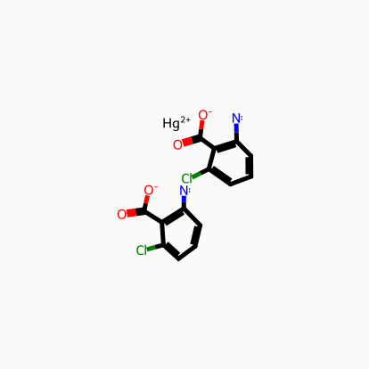 [Hg+2].[N]c1cccc(Cl)c1C(=O)[O-].[N]c1cccc(Cl)c1C(=O)[O-]